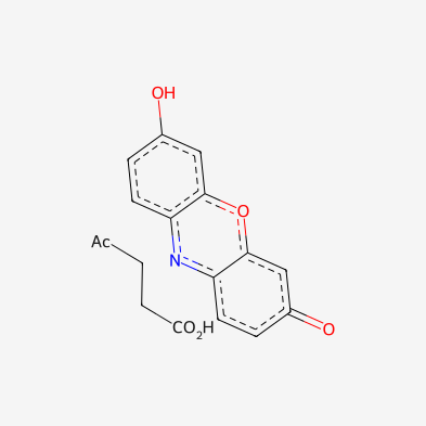 CC(=O)CCC(=O)O.O=c1ccc2nc3ccc(O)cc3oc-2c1